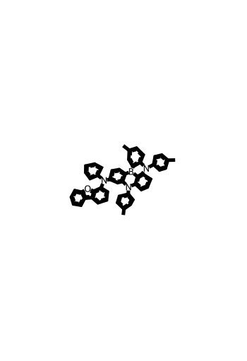 Cc1ccc(N2c3ccc(C)cc3B3c4ccc(N(c5ccccc5)c5cccc6c5oc5ccccc56)cc4N(c4ccc(C)cc4)c4cccc2c43)cc1